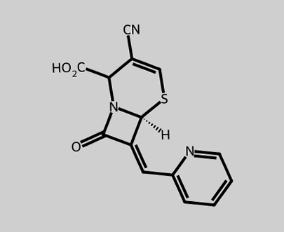 N#CC1=CS[C@H]2/C(=C\c3ccccn3)C(=O)N2C1C(=O)O